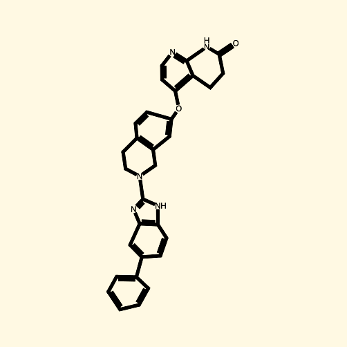 O=C1CCc2c(Oc3ccc4c(c3)CN(c3nc5cc(-c6ccccc6)ccc5[nH]3)CC4)ccnc2N1